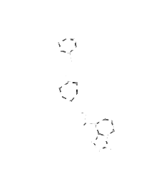 O=C(NCc1ccc(OCc2ccccc2F)cc1)c1cccn2nnnc12